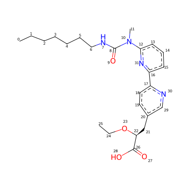 CCCCCCCNC(=O)N(C)c1cccc(-c2ccc(C[C@H](OCC)C(=O)O)cn2)n1